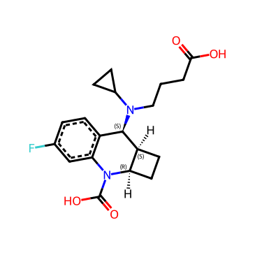 O=C(O)CCCN(C1CC1)[C@@H]1c2ccc(F)cc2N(C(=O)O)[C@@H]2CC[C@@H]21